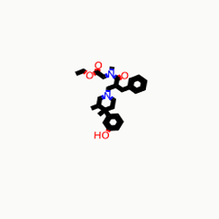 CCOC(=O)CN(C)C(=O)C(Cc1ccccc1)CN1CCC(C)(c2cccc(O)c2)C(C)C1